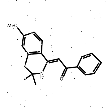 COc1ccc2c(c1)SC(C)(C)N/C2=C\C(=O)c1ccccc1